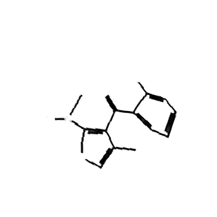 CC(=O)N(C)c1scc(C)c1C(=O)c1ccccc1Cl